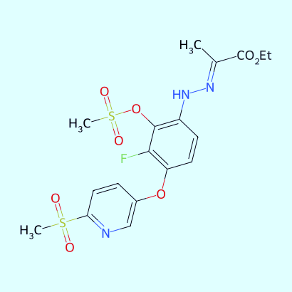 CCOC(=O)/C(C)=N/Nc1ccc(Oc2ccc(S(C)(=O)=O)nc2)c(F)c1OS(C)(=O)=O